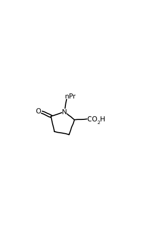 CCCN1C(=O)CCC1C(=O)O